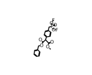 COC(=O)C(C(=O)OCc1ccccc1)c1ccc(CP(=O)(OF)OF)cc1